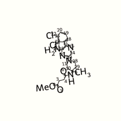 COC(=O)CCC(=O)NC1(C)CCN(c2cnc(-c3cccc(Cl)c3Cl)c(N)n2)CC1